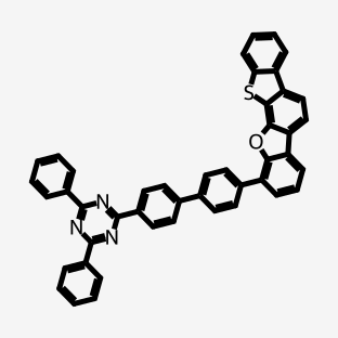 c1ccc(-c2nc(-c3ccccc3)nc(-c3ccc(-c4ccc(-c5cccc6c5oc5c6ccc6c7ccccc7sc65)cc4)cc3)n2)cc1